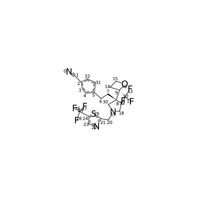 N#Cc1ccc(CC[C@@]2([C@@]3(C(F)(F)F)CCO3)CCN(Cc3ncc(C(F)(F)F)s3)C2)cc1